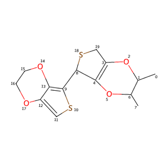 CC1OC2=C(OC1C)C(c1scc3c1OCCO3)SC2